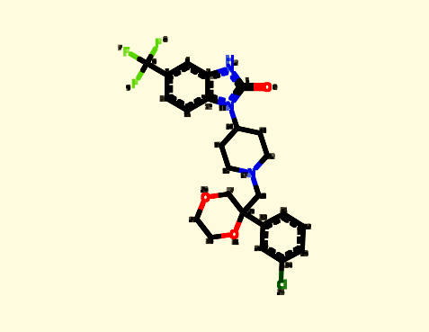 O=c1[nH]c2cc(C(F)(F)F)ccc2n1C1CCN(CC2(c3cccc(Cl)c3)COCCO2)CC1